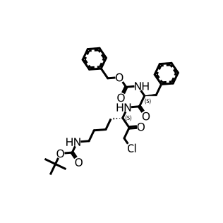 CC(C)(C)OC(=O)NCCCC[C@H](NC(=O)[C@H](Cc1ccccc1)NC(=O)OCc1ccccc1)C(=O)CCl